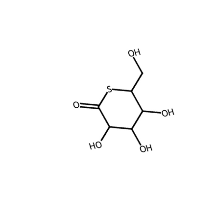 O=C1SC(CO)C(O)C(O)C1O